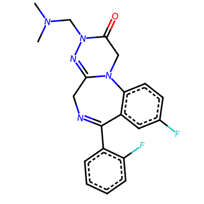 CN(C)CN1N=C2CN=C(c3ccccc3F)c3cc(F)ccc3N2CC1=O